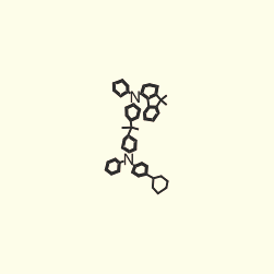 CC(C)(c1ccc(N(c2ccccc2)c2ccc(C3CCCCC3)cc2)cc1)c1ccc(N(c2ccccc2)c2cccc3c2-c2ccccc2C3(C)C)cc1